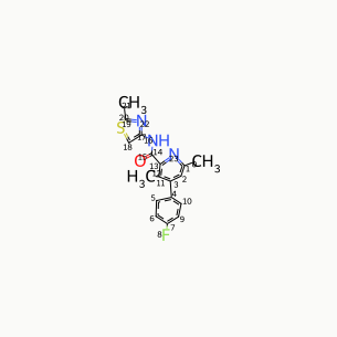 Cc1cc(-c2ccc(F)cc2)c(C)c(C(=O)Nc2csc(C)n2)n1